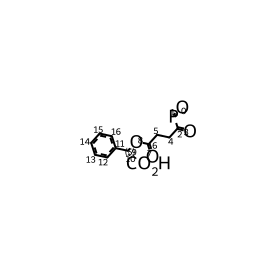 O=PC(=O)CCC(=O)O[C@H](C(=O)O)c1ccccc1